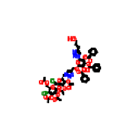 CC(=O)OC[C@H]1O[C@H](O[C@]2(CCl)O[C@H](Cn3cc(CO[C@H]4OC(n5cc(CCCO)nn5)[C@@H](OC(=O)c5ccccc5)[C@H](OC(=O)c5ccccc5)[C@@H]4OC(=O)c4ccccc4)nn3)[C@@H](OC(C)=O)[C@@H]2OC(C)=O)[C@H](OC(C)=O)[C@@H](OC(C)=O)[C@H]1Cl